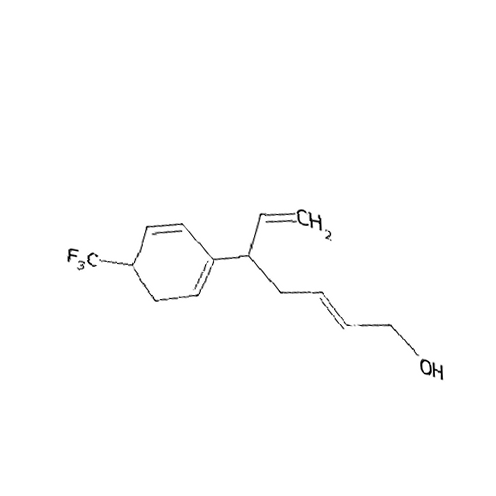 C=CC(C/C=C/CO)C1=CCC(C(F)(F)F)C=C1